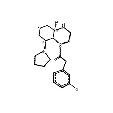 O=C(Cc1cccc(Cl)c1)N1CCN[C@@H]2COC[C@H](N3CCCC3)C21